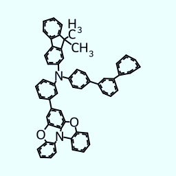 CC1(C)c2ccccc2-c2ccc(N(c3ccc(-c4cccc(-c5ccccc5)c4)cc3)c3cccc(-c4cc5c6c(c4)Oc4ccccc4N6c4ccccc4O5)c3)cc21